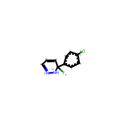 FC1(c2ccc(Cl)cc2)C=CC=NN1